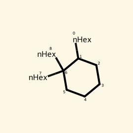 CCCCCCC1CCCCC1(CCCCCC)CCCCCC